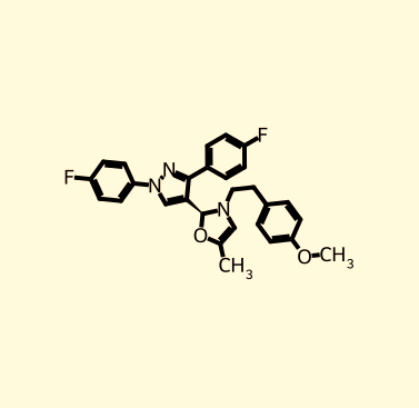 COc1ccc(CCN2C=C(C)O[C@H]2c2cn(-c3ccc(F)cc3)nc2-c2ccc(F)cc2)cc1